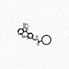 Bn1nc(-c2ccc(CNC(=O)C3CCCCCCCCC3)cc2)c2c(N)nccc21